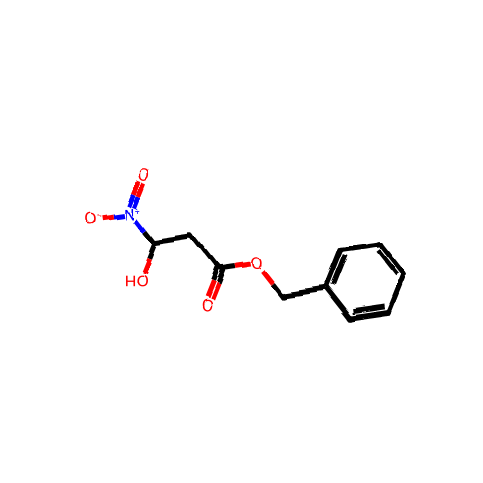 O=C(CC(O)[N+](=O)[O-])OCc1ccccc1